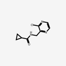 O=C(NCc1nccnc1Cl)C1CC1